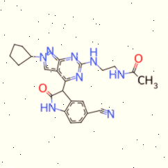 CC(=O)NCCNc1nc(C2C(=O)Nc3ccc(C#N)cc32)c2cn(C3CCCC3)nc2n1